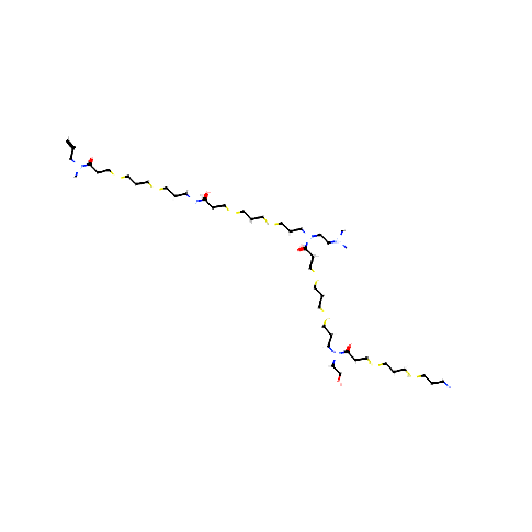 C=CCN(C)C(=O)CCSCCCSCCCNC(=O)CCSCCCSCCCN(CCN(C)C)C(=O)CCSCCCSCCCN(CCO)C(=O)CCSCCCSCCCN